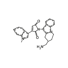 Cn1cc(C2=CC(=O)N(c3c4n(c5ccccc35)CCC(CN)C4)C2=O)c2ccccc21